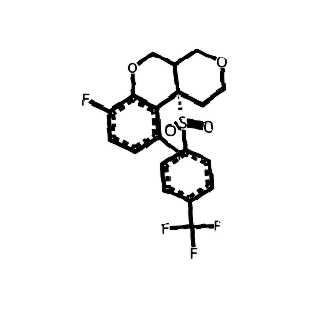 O=S(=O)(c1ccc(C(F)(F)F)cc1)[C@@]12CCOCC1COc1c(F)ccc(F)c12